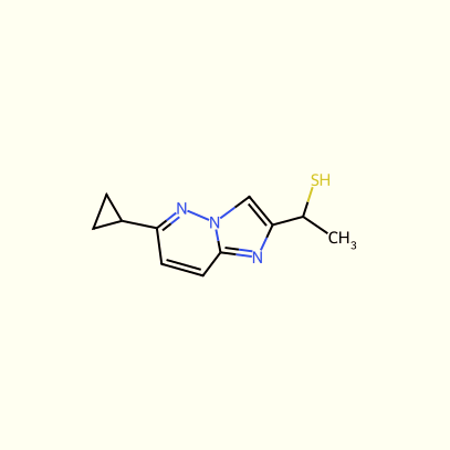 CC(S)c1cn2nc(C3CC3)ccc2n1